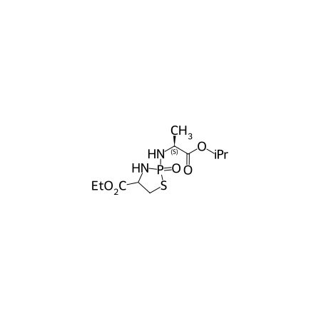 CCOC(=O)C1CSP(=O)(N[C@@H](C)C(=O)OC(C)C)N1